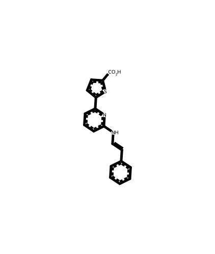 O=C(O)c1ccc(-c2cccc(NC=Cc3ccccc3)n2)s1